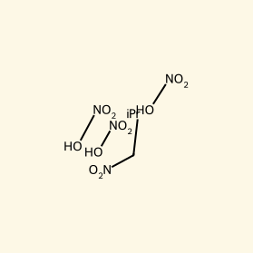 CC(C)C[N+](=O)[O-].O=[N+]([O-])O.O=[N+]([O-])O.O=[N+]([O-])O